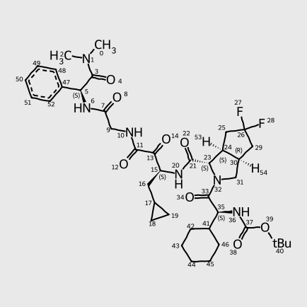 CN(C)C(=O)[C@@H](NC(=O)CNC(=O)C(=O)[C@H](CC1CC1)NC(=O)[C@@H]1[C@H]2CC(F)(F)C[C@H]2CN1C(=O)[C@@H](NC(=O)OC(C)(C)C)C1CCCCC1)c1ccccc1